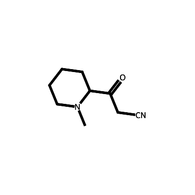 CN1CCCCC1C(=O)CC#N